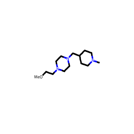 COCCN1CCN(CC2CCN(C)CC2)CC1